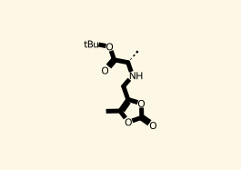 Cc1oc(=O)oc1CN[C@@H](C)C(=O)OC(C)(C)C